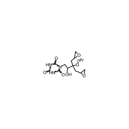 CCCOC(CC1CO1)(CC1CO1)C(O)Cn1c(=O)[nH]c(=O)[nH]c1=O